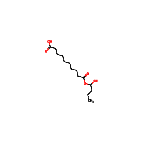 CCCC(O)OC(=O)CCCCCCCCC(=O)O